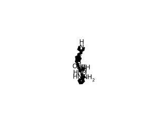 Nc1c(C(=O)NC(CNC(=O)c2cc3cc(CCC4CCNCC4)sc3s2)C(=O)O)[nH]c2ccccc12